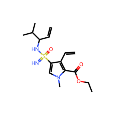 C=Cc1c(S(=N)(=O)NC(C=C)C(C)C)cn(C)c1C(=O)OCC